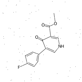 COC(=O)c1c[nH]cc(-c2ccc(F)cc2)c1=O